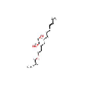 CCCCCCCCC=CCCCCCCCCOCCCCCCCCCCCC.OCCO